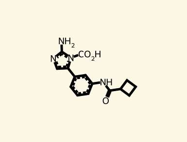 Nc1ncc(-c2cccc(NC(=O)C3CCC3)c2)n1C(=O)O